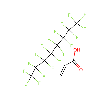 C=CC(=O)O.FC(F)(F)C(F)(F)C(F)(F)C(F)(F)C(F)(F)C(F)(F)C(F)(F)C(F)(F)F